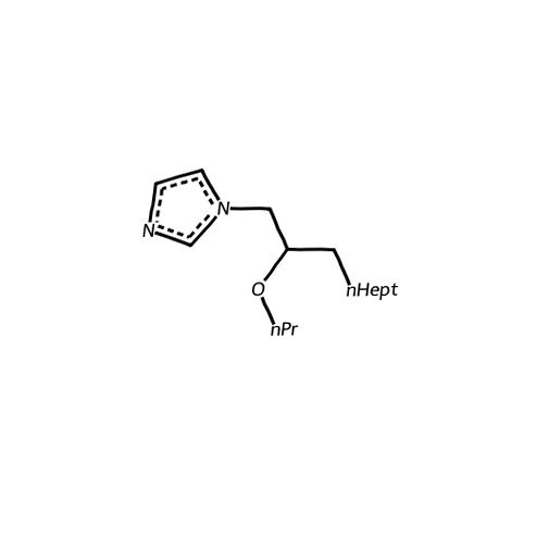 CCCCCCCCC(Cn1ccnc1)OCCC